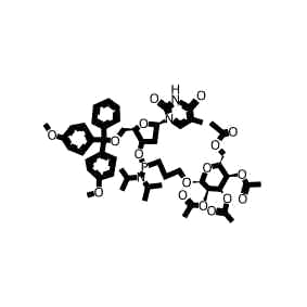 COc1ccc(C(OC[C@H]2O[C@@H](n3cc(C)c(=O)[nH]c3=O)CC2OP(CCCO[C@@H]2O[C@H](COC(C)=O)[C@@H](OC(C)=O)[C@H](OC(C)=O)[C@H]2OC(C)=O)N(C(C)C)C(C)C)(c2ccccc2)c2ccc(OC)cc2)cc1